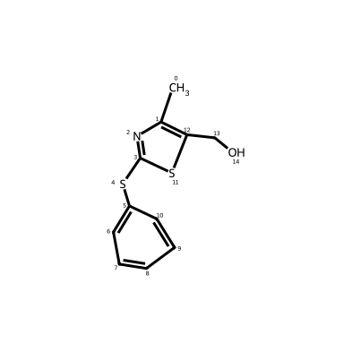 Cc1nc(Sc2ccccc2)sc1CO